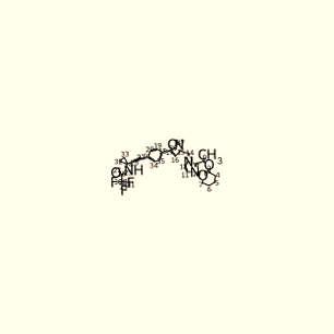 CC(OC1CCCCO1)c1nccn1Cc1cc(-c2ccc(C#CC3(NC(=O)C(F)(F)F)CC3)cc2)on1